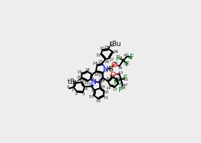 Cc1ccc(C2=N/C(=C(/c3ccccc3)c3c(-c4ccc(C(C)(C)C)cc4)cc(-c4ccc(C(C)(C)C)cc4)n3B(OCC(F)(F)CF)OCC(F)(F)CF)c3ccccc32)cc1